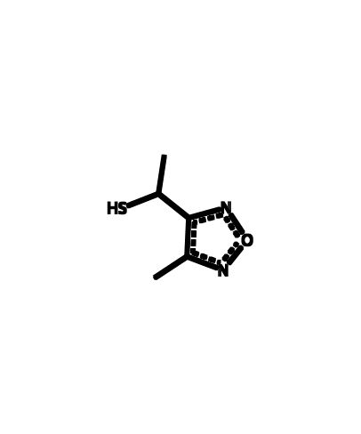 Cc1nonc1C(C)S